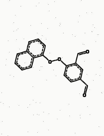 O=Cc1ccc(OOc2cccc3ccccc23)c(C=O)c1